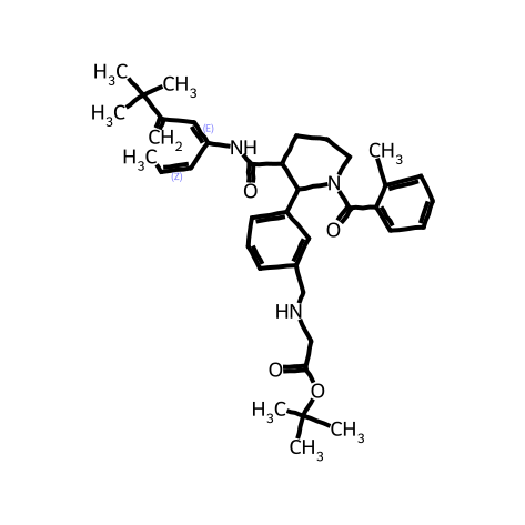 C=C(/C=C(\C=C/C)NC(=O)C1CCCN(C(=O)c2ccccc2C)C1c1cccc(CNCC(=O)OC(C)(C)C)c1)C(C)(C)C